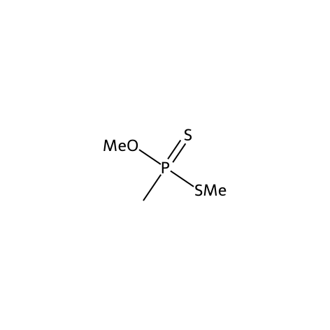 COP(C)(=S)SC